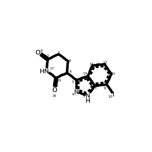 O=C1CCC(c2n[nH]c3c(I)cccc23)C(=O)N1